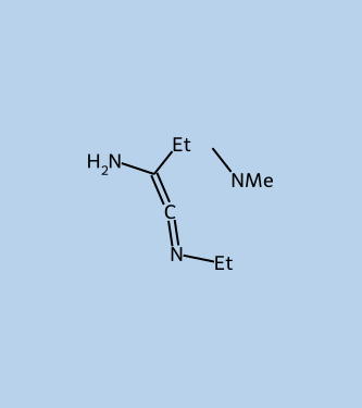 CCN=C=C(N)CC.CNC